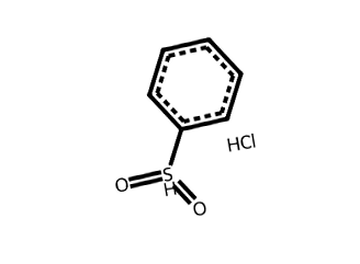 Cl.O=[SH](=O)c1ccccc1